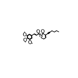 CCCCC#CC1=CCCN(C(=O)C=Cc2cc(OC)c(OC)c(OC)c2)C1=O